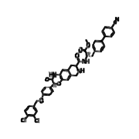 COC(=O)[C@H](Cc1ccc(-c2ccc(C#N)cc2)cc1)NC(=O)C1Cc2cc3c(cc2CN1)O[C@@H](c1ccc(OCc2ccc(Cl)c(Cl)c2)cc1)C(=O)N3